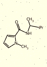 CC(C)C(C)NC(=O)c1cccn1C